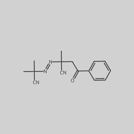 CC(C)(C#N)N=NC(C)(C#N)CC(=O)c1ccccc1